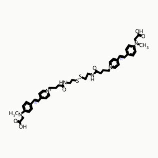 CN(CC(=O)O)c1ccc(/C=C/c2cc[n+](CCCC(=O)NCCSSCCNC(=O)CCC[n+]3ccc(/C=C/c4ccc(N(C)CC(=O)O)cc4)cc3)cc2)cc1